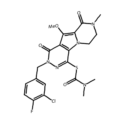 COc1c2n(c3c(SC(=O)N(C)C)nn(Cc4ccc(F)c(Cl)c4)c(=O)c13)CCN(C)C2=O